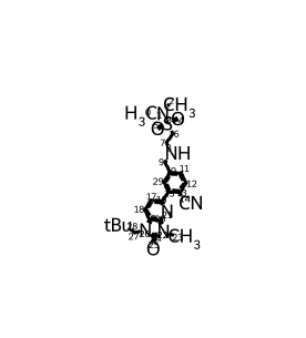 CN(C)S(=O)(=O)CCNCc1ccc(C#N)c(-c2ccc3c(n2)n(C)c(=O)n3CC(C)(C)C)c1